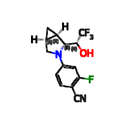 N#Cc1ccc(N2C[C@H]3C[C@H]3[C@@H]2[C@@H](O)C(F)(F)F)cc1F